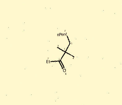 CCCCCCC(C)(C)C(=O)CC